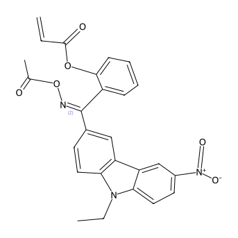 C=CC(=O)Oc1ccccc1/C(=N\OC(C)=O)c1ccc2c(c1)c1cc([N+](=O)[O-])ccc1n2CC